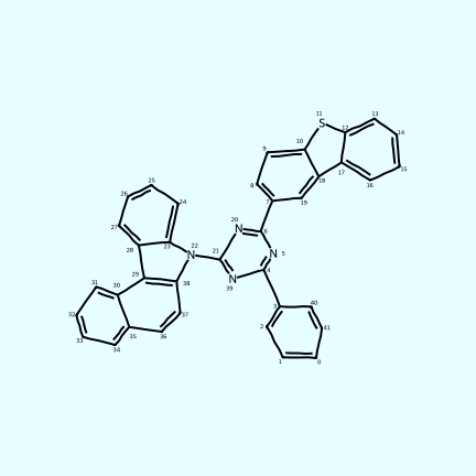 c1ccc(-c2nc(-c3ccc4sc5ccccc5c4c3)nc(-n3c4ccccc4c4c5ccccc5ccc43)n2)cc1